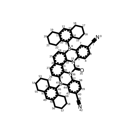 N#Cc1ccc2c(c1)B(c1c3c(cc4c1CCCC4)CCCC3)c1ccc3ccc4c5c3c1N2C(=O)N5c1ccc(C#N)cc1B4c1c2c(cc3c1CCCC3)CCCC2